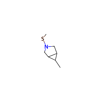 CSN1CC2C(C)C2C1